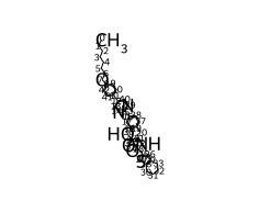 CCCCCCCOc1ccc(-c2cnc(-c3ccc(C[C@H](NC(=O)c4cc5c(s4)CCCC5)C(=O)O)cc3)nc2)cc1